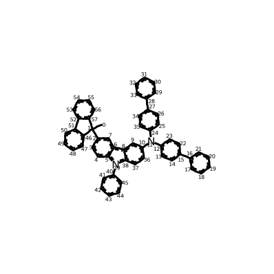 CC1(c2ccc3c(c2)c2cc(N(c4ccc(-c5ccccc5)cc4)c4ccc(-c5ccccc5)cc4)ccc2n3-c2ccccc2)c2ccccc2-c2ccccc21